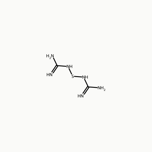 N=C(N)NSNC(=N)N